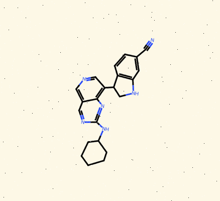 N#Cc1ccc2c(c1)NCC2c1cncc2cnc(NC3CCCCC3)nc12